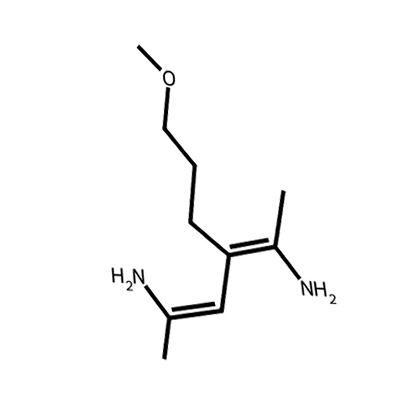 COCCCC(/C=C(/C)N)=C(\C)N